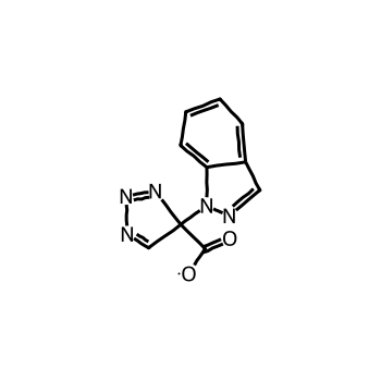 [O]C(=O)C1(n2ncc3ccccc32)C=NN=N1